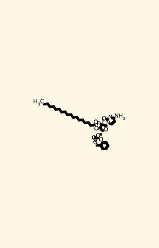 CCCCCCCCCCCCCCCCCCC(=O)O[C@@H]1[C@@H](COP2(=O)OCc3ccccc3O2)O[C@@H](n2ccc(N)nc2=O)C1(F)F